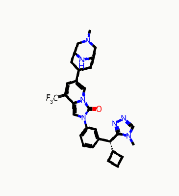 CN1CC2CC(c3cc(C(F)(F)F)c4cn(-c5cccc([C@H](c6nncn6C)C6CCC6)c5)c(=O)n4c3)CC(C1)N2